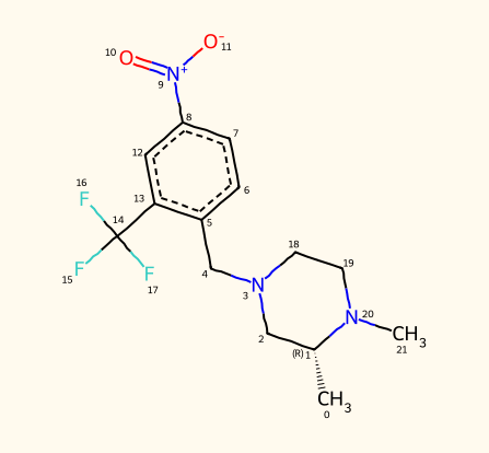 C[C@@H]1CN(Cc2ccc([N+](=O)[O-])cc2C(F)(F)F)CCN1C